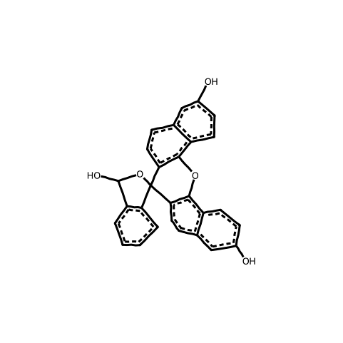 Oc1ccc2c3c(ccc2c1)C1(OC(O)c2ccccc21)c1ccc2cc(O)ccc2c1O3